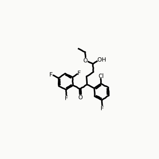 CCOC(O)CCC(C(=O)c1c(F)cc(F)cc1F)c1cc(F)ccc1Cl